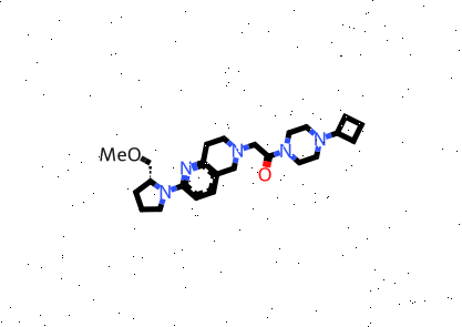 COC[C@H]1CCCN1c1ccc2c(n1)CCN(CC(=O)N1CCN(C3CCC3)CC1)C2